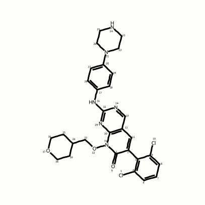 O=c1c(-c2c(Cl)cccc2Cl)cc2cnc(Nc3ccc(N4CCNCC4)cc3)nc2n1OCC1CCOCC1